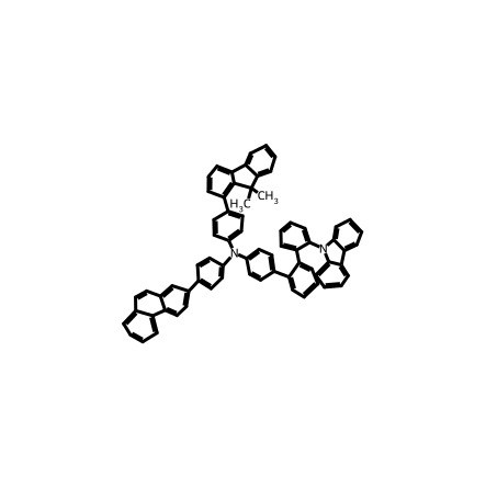 CC1(C)c2ccccc2-c2cccc(-c3ccc(N(c4ccc(-c5ccc6c(ccc7ccccc76)c5)cc4)c4ccc(-c5ccccc5-c5ccccc5-n5c6ccccc6c6ccccc65)cc4)cc3)c21